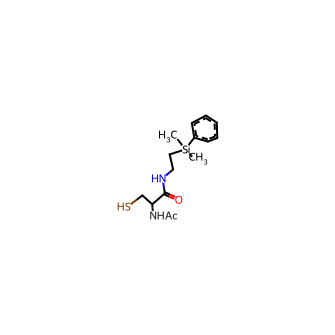 CC(=O)NC(CS)C(=O)NCC[Si](C)(C)c1ccccc1